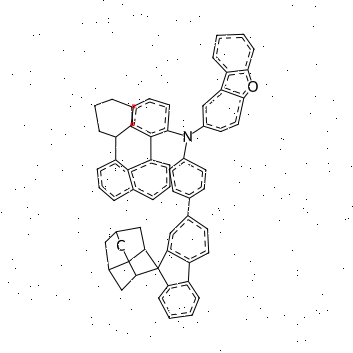 c1ccc(N(c2ccc(-c3ccc4c(c3)C3(c5ccccc5-4)C4CC5CC6CC3C64C5)cc2)c2ccc3oc4ccccc4c3c2)c(-c2cccc3cccc(C4CCCCC4)c23)c1